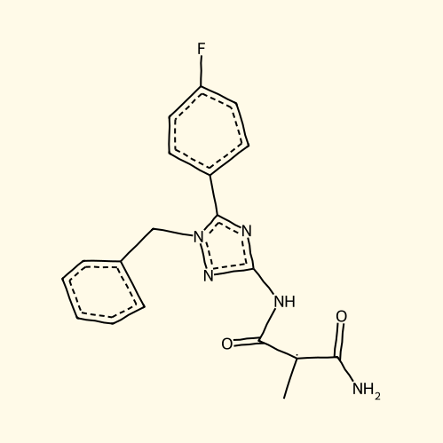 C[C](C(N)=O)C(=O)Nc1nc(-c2ccc(F)cc2)n(Cc2ccccc2)n1